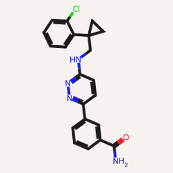 NC(=O)c1cccc(-c2ccc(NCC3(c4ccccc4Cl)CC3)nn2)c1